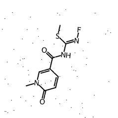 CS/C(=N\F)NC(=O)c1ccc(=O)n(C)c1